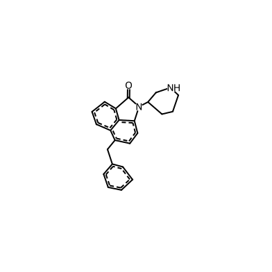 O=C1c2cccc3c(Cc4ccccc4)ccc(c23)N1C1CCCNC1